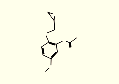 COc1ccc(OCC2CO2)c(OC(C)=O)c1